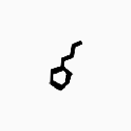 CCCCc1[c]cc[c]c1